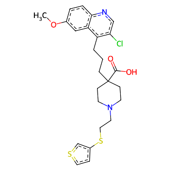 COc1ccc2ncc(Cl)c(CCCC3(C(=O)O)CCN(CCSc4ccsc4)CC3)c2c1